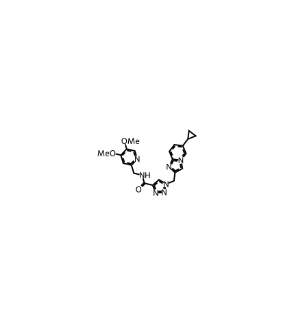 COc1cnc(CNC(=O)c2cn(Cc3cn4cc(C5CC5)ccc4n3)nn2)cc1OC